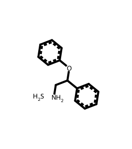 NCC(Oc1ccccc1)c1ccccc1.S